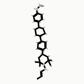 C/C=C/ON1C(C)(C)CC(c2ccc(C3CCC(c4ccc(OCCCC)cc4)CC3)cc2)CC1(C)C